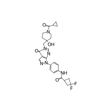 O=C(Nc1ccc(-n2ncc3c(=O)n(CC4(O)CCN(C(=O)C5CC5)CC4)cnc32)cc1)C1CC(F)(F)C1